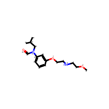 COCCNCCOc1cccc(N(C=O)CC(C)C)c1